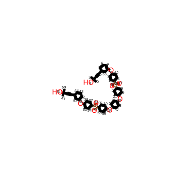 CC(C)(O)C#Cc1cccc(Oc2ccc(S(=O)(=O)c3ccc(Oc4ccc(Oc5ccc(S(=O)(=O)c6ccc(Oc7cccc(C#CC(C)(C)O)c7)cc6)cc5)cc4)cc3)cc2)c1